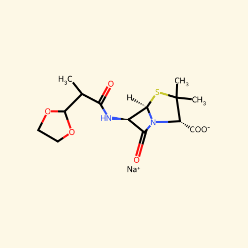 CC(C(=O)N[C@@H]1C(=O)N2[C@@H]1SC(C)(C)[C@@H]2C(=O)[O-])C1OCCO1.[Na+]